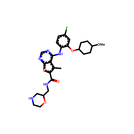 COC1CCC(Oc2cc(F)ccc2Nc2ncnc3sc(C(=O)NCC4CNCCO4)c(C)c23)CC1